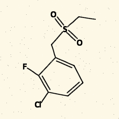 CCS(=O)(=O)Cc1cccc(Cl)c1F